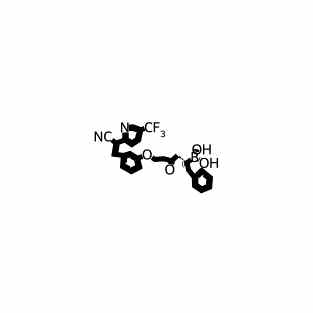 N#CC(=Cc1cccc(OCCC(=O)C[C@@H](Cc2ccccc2)B(O)O)c1)c1ccc(C(F)(F)F)cn1